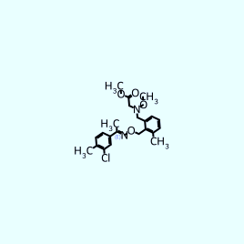 COC(=O)CN(Cc1cccc(C)c1CO/N=C(\C)c1ccc(C)c(Cl)c1)OC